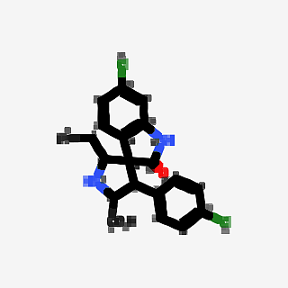 CC(C)CC1NC(C(=O)O)C(c2ccc(Cl)cc2)C12C(=O)Nc1cc(Cl)ccc12